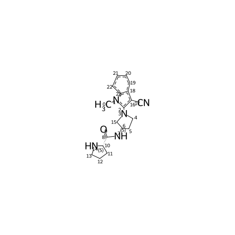 Cn1c(N2CC[C@H](NC(=O)[C@@H]3CCCN3)C2)c(C#N)c2ccccc21